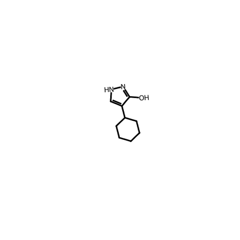 Oc1n[nH]cc1C1CCCCC1